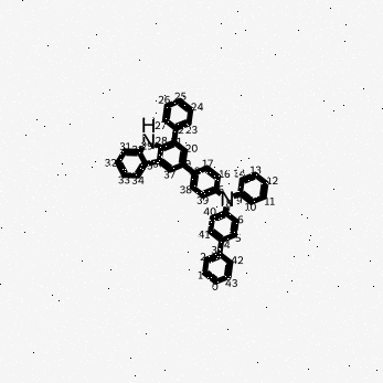 c1ccc(-c2ccc(N(c3ccccc3)c3ccc(-c4cc(-c5ccccc5)c5[nH]c6ccccc6c5c4)cc3)cc2)cc1